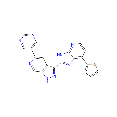 c1csc(-c2ccnc3[nH]c(-c4n[nH]c5cnc(-c6cncnc6)cc45)nc23)c1